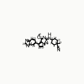 COc1nc(NC2CCC(C)(C#N)CC2)nn2ccc(-c3ccc4ncnn4c3)c12